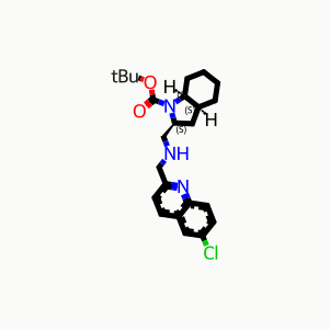 CC(C)(C)OC(=O)N1[C@H](CNCc2ccc3cc(Cl)ccc3n2)C[C@@H]2CCCC[C@@H]21